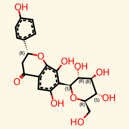 O=C1C[C@H](c2ccc(O)cc2)Oc2c1cc(O)c([C@@H]1O[C@H](CO)[C@@H](O)[C@H](O)[C@H]1O)c2O